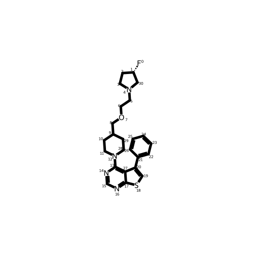 F[C@H]1CCN(CCOCC2CCN(c3ncnc4scc(-c5ccccc5)c34)CC2)C1